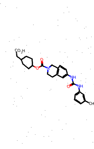 Cc1cccc(NC(=O)Nc2ccc3c(c2)CCN(C(=O)OC2CCC(CC(=O)O)CC2)C3)c1